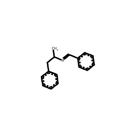 CC(Cc1ccccc1)N=Cc1ccccc1